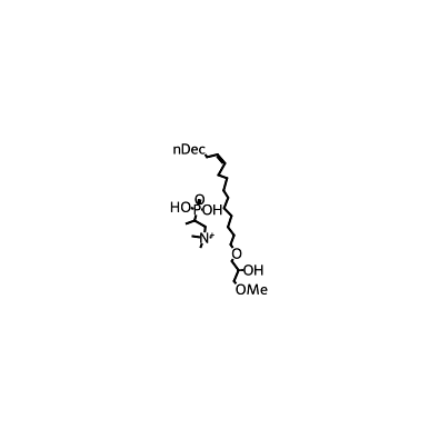 CC(C[N+](C)(C)C)P(=O)(O)O.CCCCCCCCCCC/C=C\CCCCCCCCCOC[C@@H](O)COC